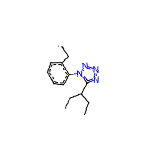 [CH2]Cc1ccccc1-n1nnnc1C(CC)CC